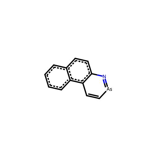 C1=Cc2c(ccc3ccccc23)N=[As]1